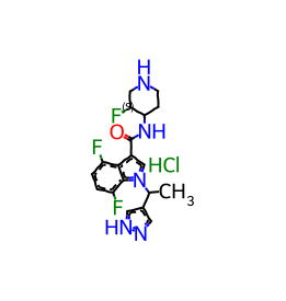 CC(c1cn[nH]c1)n1cc(C(=O)NC2CCNC[C@@H]2F)c2c(F)ccc(F)c21.Cl